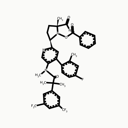 Cc1cc(F)ccc1-c1cc([C@H]2CC[C@](C)(C(N)=O)N2OC(=O)c2ccccc2)ncc1N(C)C(=O)C(C)(C)c1cc(C(F)(F)F)cc(C(F)(F)F)c1